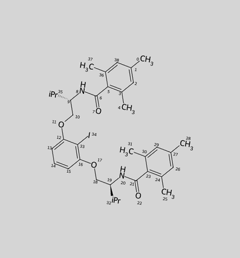 Cc1cc(C)c(C(=O)N[C@H](COc2cccc(OC[C@@H](NC(=O)c3c(C)cc(C)cc3C)C(C)C)c2I)C(C)C)c(C)c1